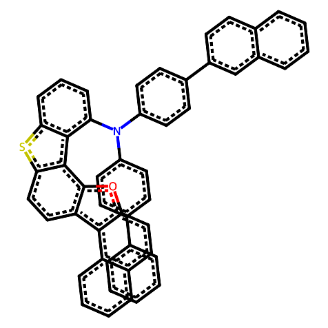 c1ccc(-c2ccc(N(c3ccc(-c4ccc5ccccc5c4)cc3)c3cccc4sc5ccc6c(oc7ccc8ccccc8c76)c5c34)cc2)cc1